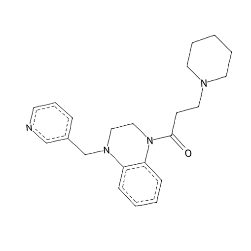 O=C(CCN1CCCCC1)N1CCN(Cc2cccnc2)c2ccccc21